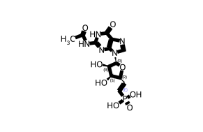 CC(=O)Nc1nc2c(ncn2[C@@H]2O[C@H](/C=C/P(=O)(O)O)[C@@H](O)[C@H]2O)c(=O)[nH]1